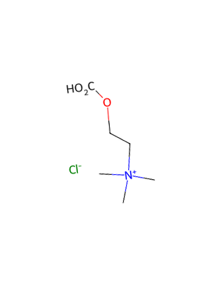 C[N+](C)(C)CCOC(=O)O.[Cl-]